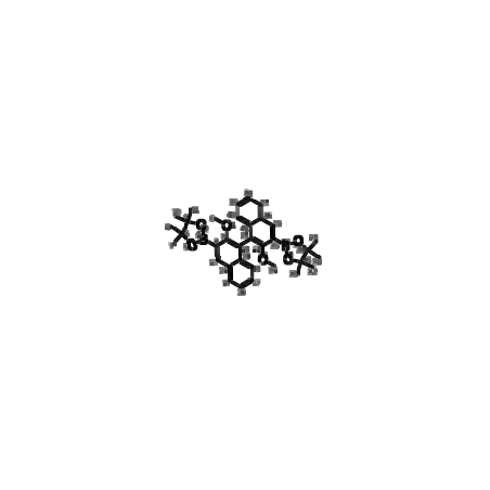 COc1c(B2OC(C)(C)C(C)(C)O2)cc2ccccc2c1-c1c(OC)c(B2OC(C)(C)C(C)(C)O2)cc2ccccc12